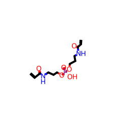 C=CC(=O)NCCCOP(=O)(O)OCCCNC(=O)C=C